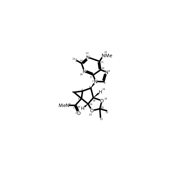 CNC(=O)C12CC1[C@@H](n1cnc3c(NC)nc(I)nc31)[C@@H]1OC(C)(C)O[C@@H]12